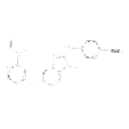 CN(C=O)c1cc(Oc2ccc3c(c2)nc(Nc2ccc(C#N)cc2)n3C)ccn1